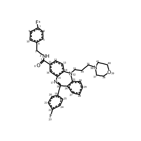 O=C(NCc1ccc(F)cc1)c1ccc2c(c1)N=C(c1ccc(F)cc1)c1ccccc1N2CCCN1CCOCC1